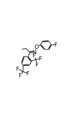 CC/C(=N\Oc1ccc(F)cc1)c1ccc(C(F)(F)F)cc1C(F)(F)F